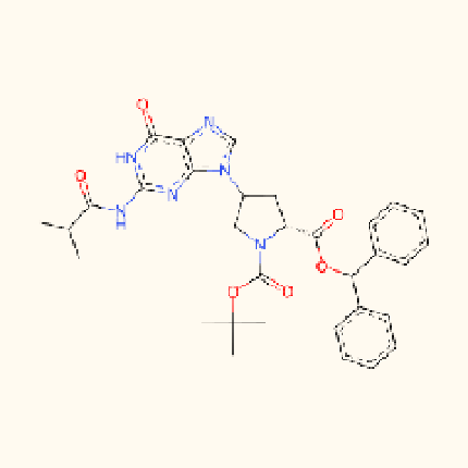 CC(C)C(=O)Nc1nc2c(ncn2C2C[C@H](C(=O)OC(c3ccccc3)c3ccccc3)N(C(=O)OC(C)(C)C)C2)c(=O)[nH]1